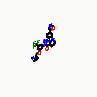 CN1CCCC1COc1cc(NC(=O)c2cccnc2Nc2ccc(-c3cnco3)cc2)cc(C(F)(F)F)c1